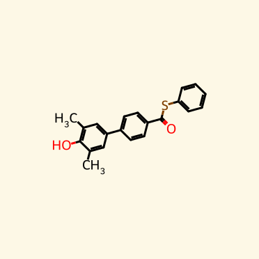 Cc1cc(-c2ccc(C(=O)Sc3ccccc3)cc2)cc(C)c1O